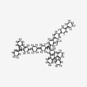 CC1(C)c2cc(-c3ccc(-c4ccccc4)cc3)ccc2-c2ccc(N(c3ccc(-c4ccc(-c5ccc6c(c5)c5ccccc5n6-c5ccccc5)cc4)cc3)c3ccc4c(c3)-c3ccccc3C4(c3ccccc3)c3ccccc3)cc21